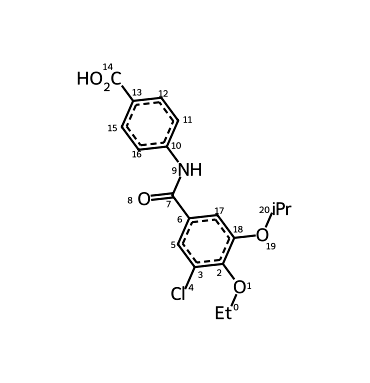 CCOc1c(Cl)cc(C(=O)Nc2ccc(C(=O)O)cc2)cc1OC(C)C